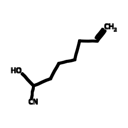 C=CCCCCC(O)C#N